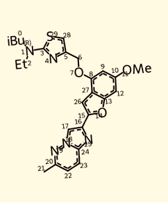 CC[C@@H](C)N(CC)c1nc(COc2cc(OC)cc3oc(-c4cn5nc(C)ccc5n4)cc23)cs1